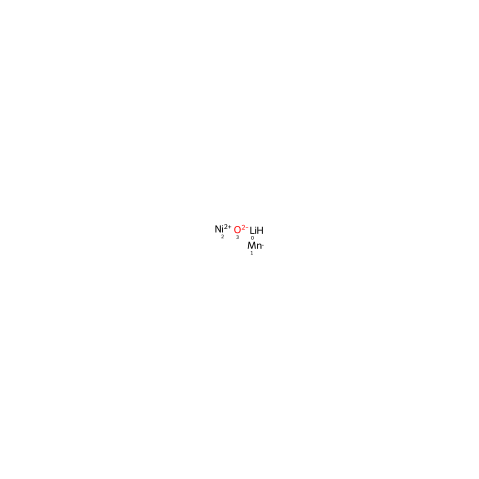 [LiH].[Mn].[Ni+2].[O-2]